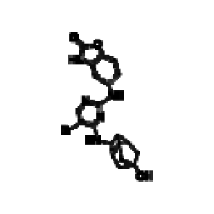 O=c1[nH]c2cc(Nc3ncc(Br)c(NC4C5CC6CC(O)(C5)CC64)n3)ccc2o1